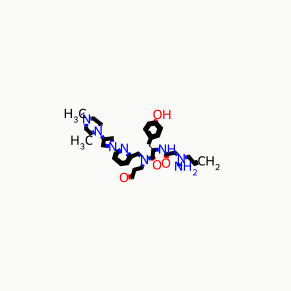 C=CCN(N)CC(=O)N[C@@H](Cc1ccc(O)cc1)C(=O)N(CCC=O)Cc1cccc(N2CC(N3CCN(C)C[C@@H]3C)C2)n1